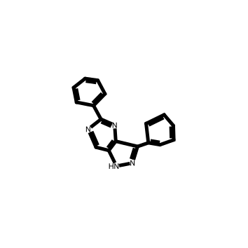 c1ccc(-c2ncc3[nH]nc(-c4ccccc4)c3n2)cc1